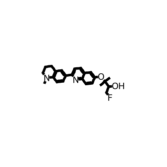 CN1CCCc2cc(-c3ccc4cc(OC(C)(C)C(O)CF)ccc4n3)ccc21